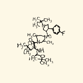 C[C@@H]1CN(C(=O)C2CN(C(C)(C)C)CC2c2ccc(F)cc2)[C@@H](C)CN1C(=O)[C@H](CC(C)(C)C)NC(=O)OC(C)(C)C